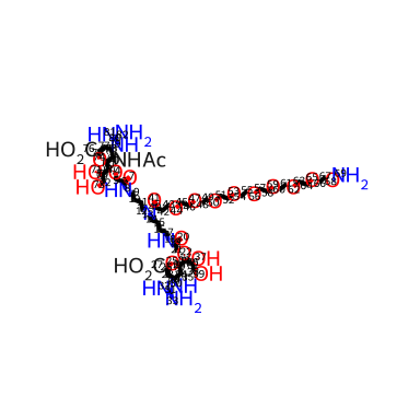 CC(=O)N[C@H]1[C@H]([C@H](OCC(=O)NCCCCN(CCCCNC(=O)CO[C@@H]([C@@H]2OC(C(=O)O)=C[C@H](NC(=N)N)[C@H]2C)[C@H](O)CO)C(=O)CCOCCOCCOCCOCCOCCOCCOCCOCCON)[C@H](O)CO)OC(C(=O)O)=C[C@@H]1NC(=N)N